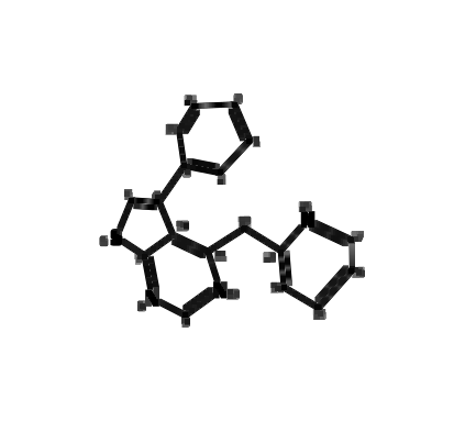 c1ccc(-c2csc3ncnc(Cc4ccccn4)c23)cc1